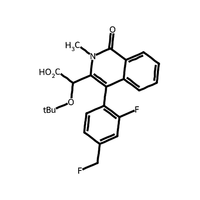 Cn1c(C(OC(C)(C)C)C(=O)O)c(-c2ccc(CF)cc2F)c2ccccc2c1=O